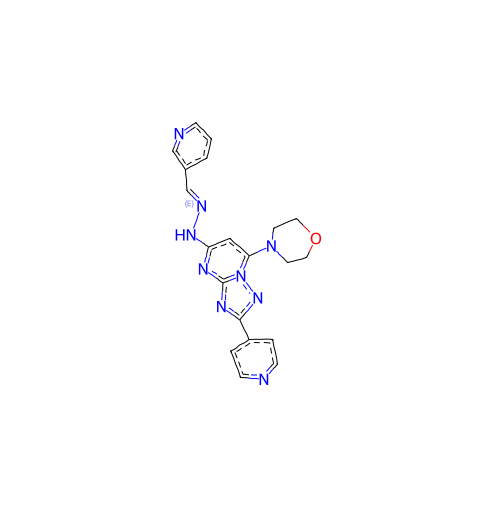 C(=N\Nc1cc(N2CCOCC2)n2nc(-c3ccncc3)nc2n1)/c1cccnc1